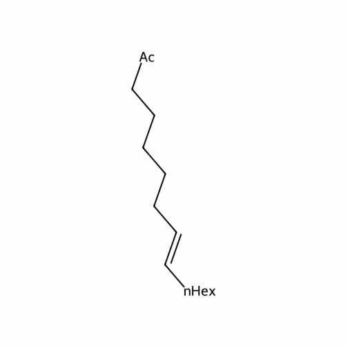 CCCCCCC=CCCCCCC(C)=O